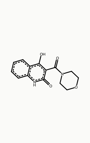 O=C(c1c(O)c2ccccc2[nH]c1=O)N1CCOCC1